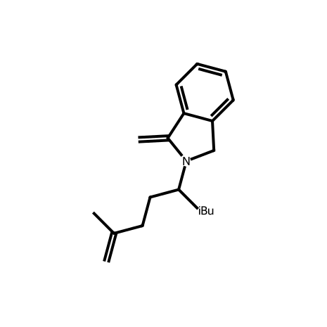 C=C(C)CCC(C(C)CC)N1Cc2ccccc2C1=C